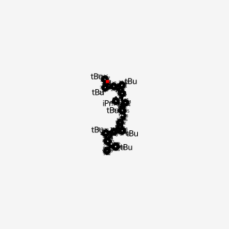 CC(C)c1ccc(N(c2ccc3c4cc(C(C)(C)C)cc5c6cc7c(cc6n(c3c2)c45)c2cc(C(C)(C)C)cc3c4cc(C(C)(C)C)ccc4n7c32)c2cccc3c2oc2c(C(C)(C)C)cc(CC(C)(C)c4ccc5c(c4)c4cc(C(C)(C)C)cc6c7cc8c(cc7n5c46)c4cc(C(C)(C)C)cc5c6ccc(N(c7ccccc7)c7ccc(C(C)(C)C)cc7)cc6n8c54)cc23)cc1